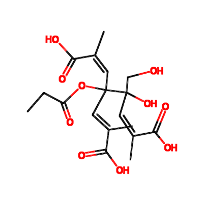 CCC(=O)OC(C=C(C)C(=O)O)(C=C(C)C(=O)O)C(O)(C=C(C)C(=O)O)CO